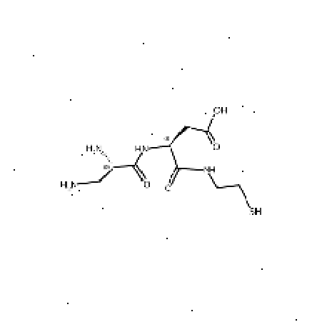 NC[C@H](N)C(=O)N[C@@H](CC(=O)O)C(=O)NCCS